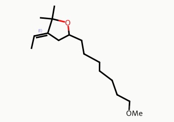 C/C=C1\CC(CCCCCCCOC)OC1(C)C